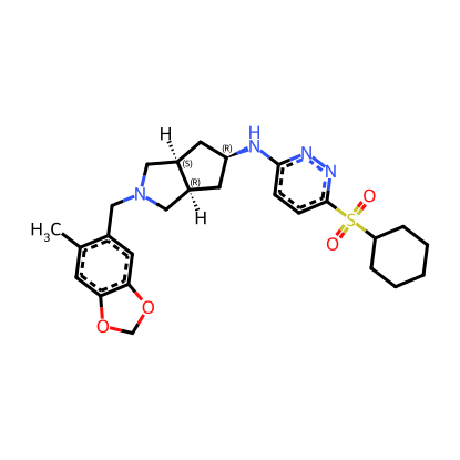 Cc1cc2c(cc1CN1C[C@H]3C[C@@H](Nc4ccc(S(=O)(=O)C5CCCCC5)nn4)C[C@H]3C1)OCO2